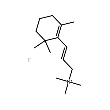 CC1=C(C=CC[N+](C)(C)C)C(C)(C)CCC1.[I-]